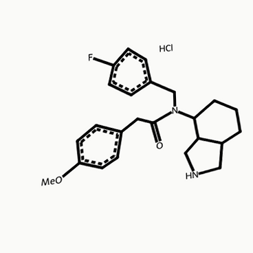 COc1ccc(CC(=O)N(Cc2ccc(F)cc2)C2CCCC3CNCC32)cc1.Cl